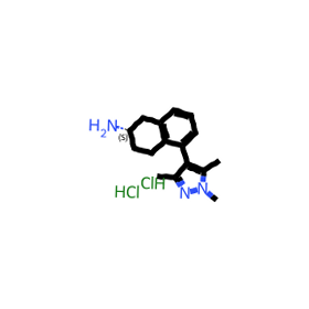 Cc1nn(C)c(C)c1-c1cccc2c1CC[C@H](N)C2.Cl.Cl